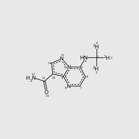 [2H]C([2H])([2H])Nc1ccnc2c(C(N)=O)cnn12